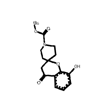 CC(C)(C)OC(=O)N1CCC2(CC1)CC(=O)c1cccc(O)c1O2